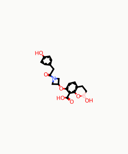 O=C(O)c1c(OC2CN(C(=O)Cc3ccc(O)cc3)C2)ccc2c1OB(O)CC2